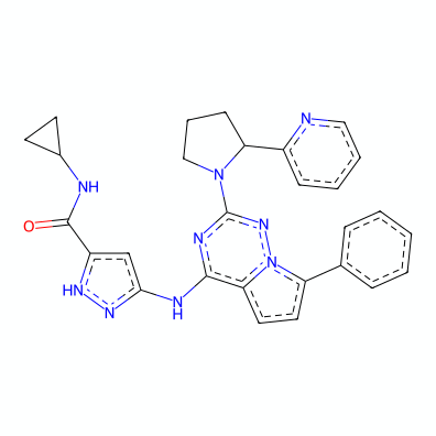 O=C(NC1CC1)c1cc(Nc2nc(N3CCCC3c3ccccn3)nn3c(-c4ccccc4)ccc23)n[nH]1